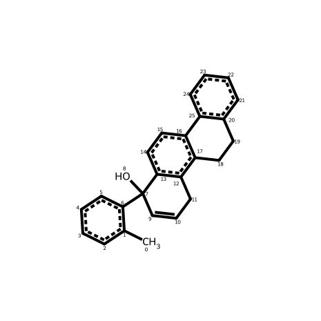 Cc1ccccc1C1(O)C=CCc2c1ccc1c2CCc2ccccc2-1